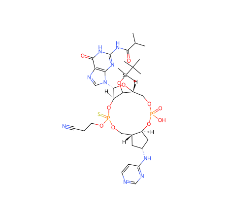 CC(C)C(=O)Nc1nc2c(ncn2[C@@H]2O[C@@H]3COP(=O)(O)O[C@H]4C[C@H](Nc5ccncn5)C[C@@H]4COP(=S)(OCCC#N)O[C@@H]2C3O[Si](C)(C)C(C)(C)C)c(=O)[nH]1